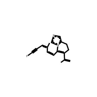 C=C(C)C1=C(/C=C\C(C)=C/C#CF)n2cncc2CC1